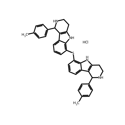 Cc1ccc(C2NCCc3[nH]c4c(Sc5cccc6c7c([nH]c56)CCNC7c5ccc(C)cc5)cccc4c32)cc1.Cl